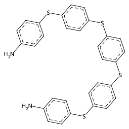 Nc1ccc(Sc2ccc(Sc3ccc(Sc4ccc(Sc5ccc(N)cc5)cc4)cc3)cc2)cc1